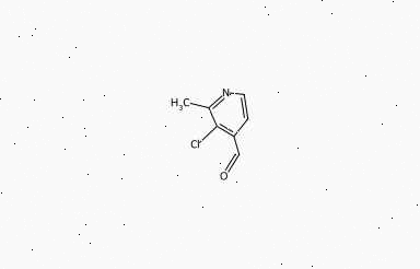 Cc1nccc(C=O)c1Cl